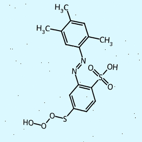 Cc1cc(C)c(N=Nc2cc(SOOO)ccc2S(=O)(=O)O)cc1C